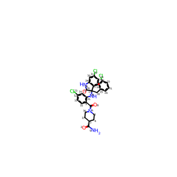 NC(=O)C1CCN(C(=O)c2ccc(Cl)cc2NC2(Cc3cccc(Cl)c3)C(=O)Nc3cc(Cl)ccc32)CC1